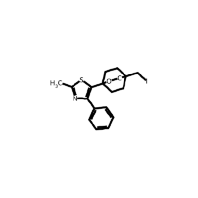 Cc1nc(-c2ccccc2)c(C23CCC(CI)(CC2)CO3)s1